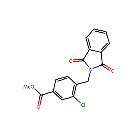 COC(=O)c1ccc(CN2C(=O)c3ccccc3C2=O)c(Cl)c1